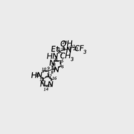 CC[C@@](C)(Nc1ccnc(-c2c[nH]c3ncncc23)n1)C(=O)NCC(F)(F)F